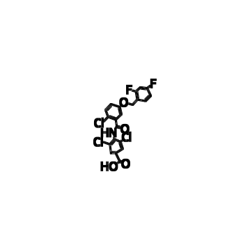 O=C(O)c1cc(Cl)c(NC(=O)c2cc(OCc3ccc(F)cc3F)ccc2Cl)c(Cl)c1